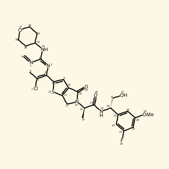 C=N/C(=N\C(=C(/C)Cl)c1cc2c(s1)CN([C@H](C)C(=O)N[C@H](CO)c1cc(F)cc(OC)c1)C2=O)NC1CCOCC1